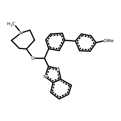 COc1ccc(-c2cccc(C(OC3CCN(C)CC3)c3nc4ccccc4s3)c2)cc1